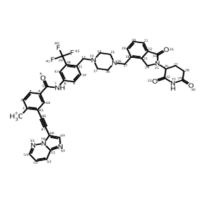 Cc1ccc(C(=O)Nc2ccc(CN3CCN(Cc4cccc5c4CN(C4CCC(=O)NC4=O)C5=O)CC3)c(C(F)(F)F)c2)cc1C#Cc1cnc2cccnn12